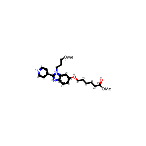 COCCCn1c(-c2ccncc2)nc2ccc(OCCCCCC(=O)OC)cc21